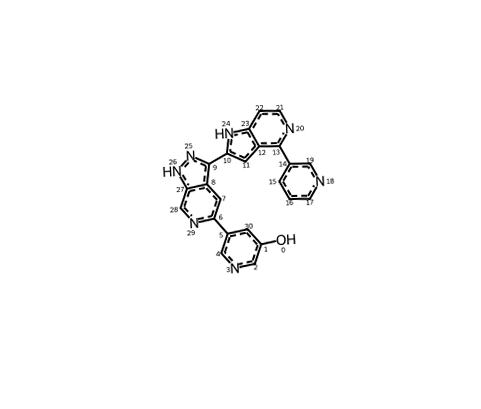 Oc1cncc(-c2cc3c(-c4cc5c(-c6cccnc6)nccc5[nH]4)n[nH]c3cn2)c1